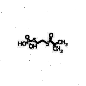 C=C(C)C(=O)SCCSP(=O)(O)O